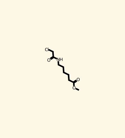 COC(=O)CCCCCNC(=O)CCl